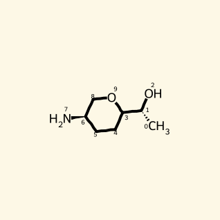 C[C@@H](O)C1CC[C@@H](N)CO1